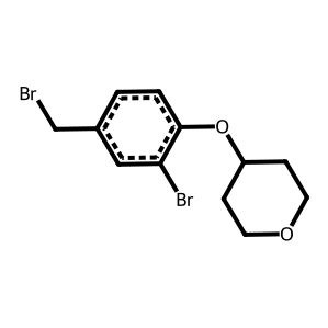 BrCc1ccc(OC2CCOCC2)c(Br)c1